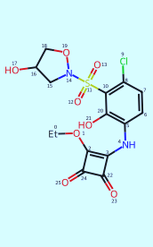 CCOc1c(Nc2ccc(Cl)c(S(=O)(=O)N3CC(O)CO3)c2O)c(=O)c1=O